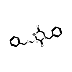 O=C1CN(Cc2ccccc2)C(=O)[C@H](COCc2ccccc2)N1